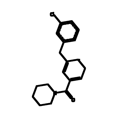 O=C(C1=CC[CH]C(Cc2cccc(Cl)c2)=C1)N1CCCCC1